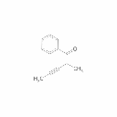 CC#CC(C)C(=O)c1ccccc1